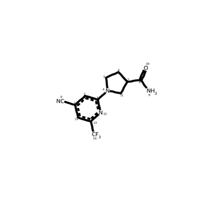 N#Cc1cc(N2CCC(C(N)=O)C2)nc(C(F)(F)F)c1